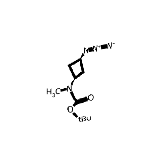 CN(C(=O)OC(C)(C)C)[C@H]1C[C@@H](N=[N+]=[N-])C1